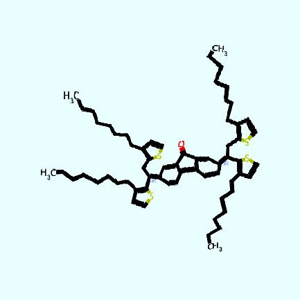 CCCCCCCCc1ccsc1C/C(c1sccc1CCCCCCCC)=c1/ccc2c(c1)C(=O)c1c/c(=C(\Cc3sccc3CCCCCCCC)c3sccc3CCCCCCCC)ccc1=2